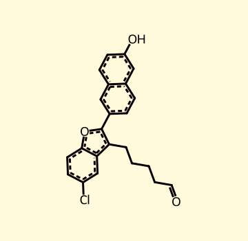 O=CCCCCc1c(-c2ccc3cc(O)ccc3c2)oc2ccc(Cl)cc12